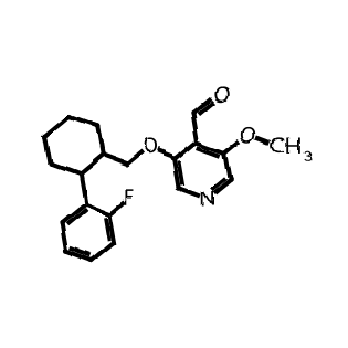 COc1cncc(OCC2CCCCC2c2ccccc2F)c1C=O